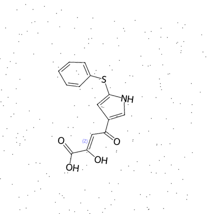 O=C(O)/C(O)=C/C(=O)c1c[nH]c(Sc2ccccc2)c1